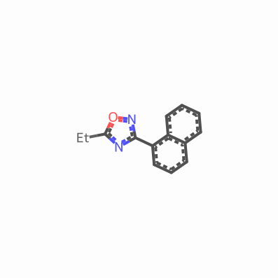 CCc1nc(-c2cccc3ccccc23)no1